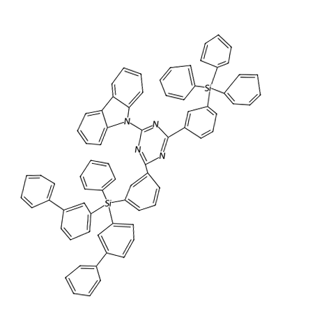 c1ccc(-c2cccc([Si](c3ccccc3)(c3cccc(-c4ccccc4)c3)c3cccc(-c4nc(-c5cccc([Si](c6ccccc6)(c6ccccc6)c6ccccc6)c5)nc(-n5c6ccccc6c6ccccc65)n4)c3)c2)cc1